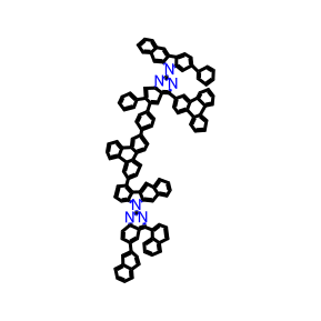 c1ccc(-c2ccc3c4cc5ccccc5cc4n(-c4nc(-c5ccc6c7ccccc7c7ccccc7c6c5)c5cc(-c6ccc(-c7ccc8c9ccc(-c%10cccc%11c%10c%10cc%12ccccc%12cc%10n%11-c%10nc(-c%11cccc%12ccccc%11%12)c%11cc(-c%12ccc%13ccccc%13c%12)ccc%11n%10)cc9c9ccccc9c8c7)cc6)c(-c6ccccc6)cc5n4)c3c2)cc1